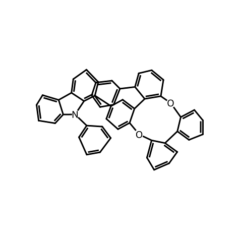 c1ccc(-c2cccc3c2-c2cc(-c4cccc5c6ccccc6n(-c6ccccc6)c45)ccc2Oc2ccccc2-c2ccccc2O3)cc1